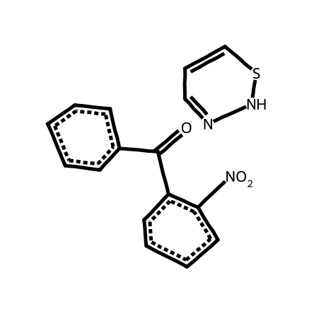 C1=CSNN=C1.O=C(c1ccccc1)c1ccccc1[N+](=O)[O-]